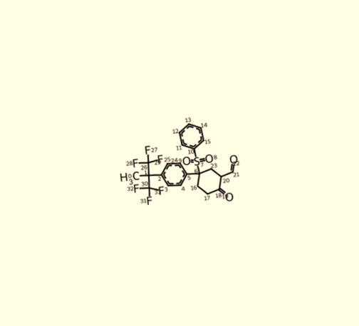 CC(c1ccc(C2(S(=O)(=O)c3ccccc3)CCC(=O)C(C=O)C2)cc1)(C(F)(F)F)C(F)(F)F